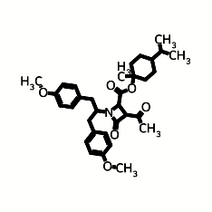 COc1ccc(CC(Cc2ccc(OC)cc2)N2C(=O)C(C(C)=O)C2C(=O)OC2(C)CCC(C(C)C)CC2)cc1